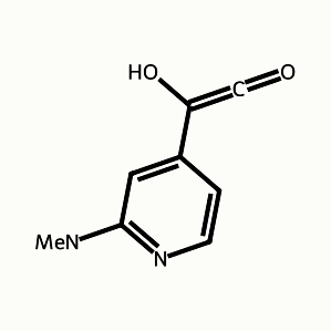 CNc1cc(C(O)=C=O)ccn1